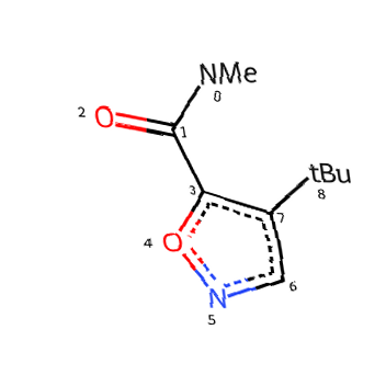 CNC(=O)c1oncc1C(C)(C)C